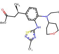 COC(=O)C[C@@H](C)c1ccc(N(CC(C)C)C2CCOCC2)c(Nc2nc(C(F)(F)F)ns2)c1